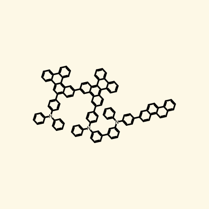 c1ccc(N(c2ccccc2)c2ccc(-c3cc4c5ccccc5c5ccccc5c4c4cc(-c5ccc6c(c5)c5cc(-c7ccc(N(c8ccccc8)c8cccc(-c9cccc(N(c%10ccccc%10)c%10ccc(-c%11ccc%12c(ccc%13c%14ccccc%14ccc%12%13)c%11)cc%10)c9)c8)cc7)ccc5c5c7ccccc7c7ccccc7c65)ccc34)cc2)cc1